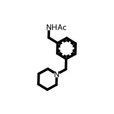 CC(=O)NCc1cccc(CN2CCCCC2)c1